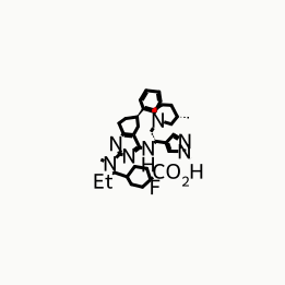 CC[C@@H](C1CCC(F)(C(=O)O)CC1)N(C)c1nc2c(c(N[C@H](CN3CCC[C@H](C)C3)c3cnn(C)c3)n1)C[C@H](c1ccccc1)CC2